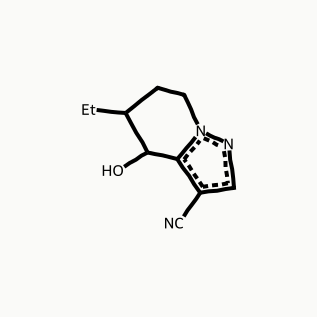 CCC1CCn2ncc(C#N)c2C1O